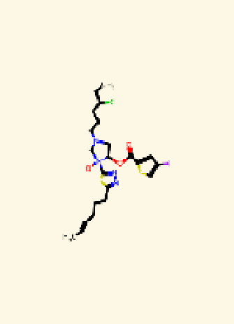 CC=CCCCc1nnc([N+]2([O-])CN(CCCC(Cl)CC)CC2OC(=O)c2cc(I)cs2)s1